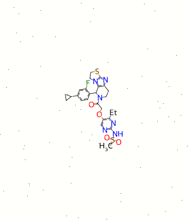 CCc1nc(NS(C)(=O)=O)ncc1OCC(=O)N1CCc2nc3n(c2C1c1ccc(C2CC2)cc1F)CCS3